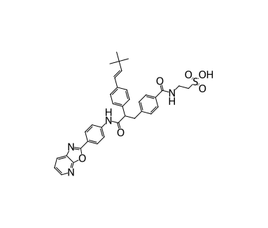 CC(C)(C)/C=C/c1ccc(C(Cc2ccc(C(=O)NCCS(=O)(=O)O)cc2)C(=O)Nc2ccc(-c3nc4cccnc4o3)cc2)cc1